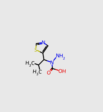 C[C](C)C(c1cncs1)N(N)C(=O)O